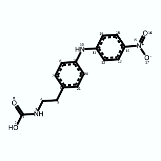 O=C(O)NCCc1ccc(Nc2ccc([N+](=O)[O-])cc2)cc1